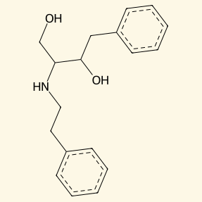 OCC(NCCc1ccccc1)C(O)Cc1ccccc1